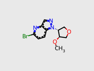 CO[C@@H]1COC[C@H]1n1ncc2nc(Br)ccc21